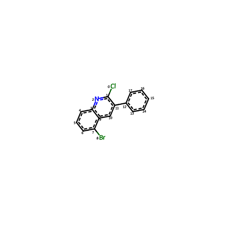 Clc1nc2cccc(Br)c2cc1-c1ccccc1